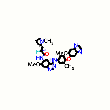 COc1cc2ncnc(Nc3cc(C)c(Oc4ccc5nccnc5c4)cc3OC)c2cc1NC(=O)/C(F)=C/[C@H]1CCCN1C